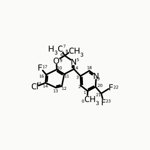 Cc1cc(C2=NC(C)(C)Oc3c2ccc(Cl)c3F)cnc1C(F)F